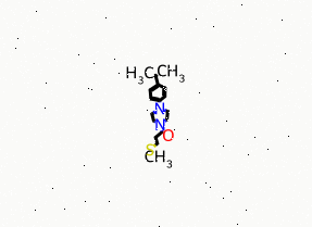 CSCCC(=O)N1CCN(c2ccc(C(C)C)cc2)CC1